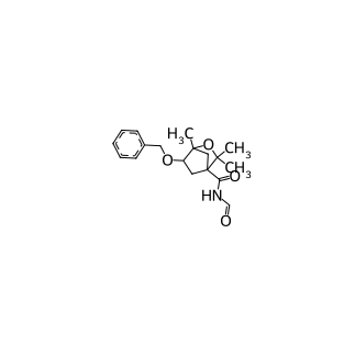 CC12CC(C(=O)NC=O)(CC1OCc1ccccc1)C(C)(C)O2